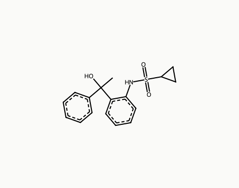 CC(O)(c1ccccc1)c1ccccc1NS(=O)(=O)C1CC1